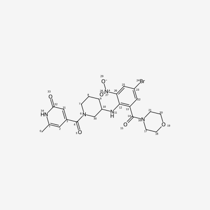 Cc1cc(C(=O)N2CCCC(Nc3c(C(=O)N4CCOCC4)cc(Br)cc3[N+](=O)[O-])C2)cc(=O)[nH]1